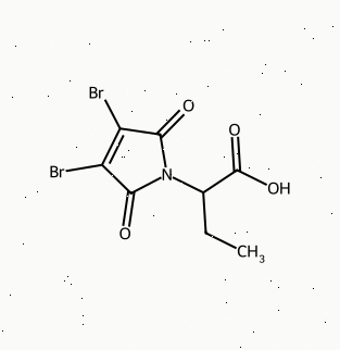 CCC(C(=O)O)N1C(=O)C(Br)=C(Br)C1=O